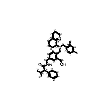 Cc1cnc(CN(Cc2ccc(CNC(=O)C(c3ccccc3)C(C)C)cc2CO)C2CCCc3cccnc32)c(C)c1